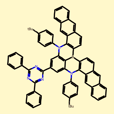 CC(C)(C)c1ccc(N2c3cc(-c4nc(-c5ccccc5)nc(-c5ccccc5)n4)cc4c3B(c3ccc5cc6ccccc6cc5c32)c2ccc3cc5ccccc5cc3c2N4c2ccc(C(C)(C)C)cc2)cc1